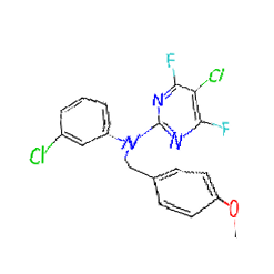 COc1ccc(CN(c2cccc(Cl)c2)c2nc(F)c(Cl)c(F)n2)cc1